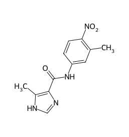 Cc1cc(NC(=O)c2nc[nH]c2C)ccc1[N+](=O)[O-]